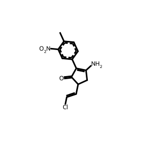 Cc1ccc(C2=C(N)CC(C=CCl)C2=O)cc1[N+](=O)[O-]